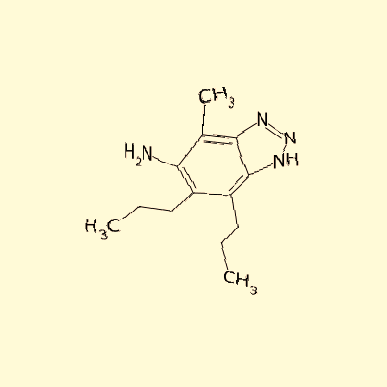 CCCc1c(N)c(C)c2nn[nH]c2c1CCC